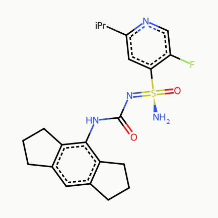 CC(C)c1cc([S@](N)(=O)=NC(=O)Nc2c3c(cc4c2CCC4)CCC3)c(F)cn1